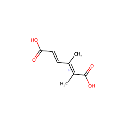 C/C(C=CC(=O)O)=C(/C)C(=O)O